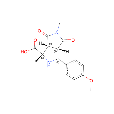 COc1ccc([C@@H]2N[C@](C)(C(=O)O)[C@@H]3C(=O)N(C)C(=O)[C@@H]32)cc1